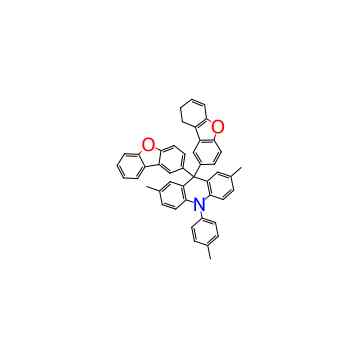 Cc1ccc(N2c3ccc(C)cc3C(c3ccc4oc5c(c4c3)CCC=C5)(c3ccc4oc5ccccc5c4c3)c3cc(C)ccc32)cc1